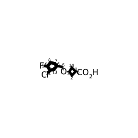 O=C(O)[C@H]1C[C@H](OCc2ccc(F)c(Cl)c2)C1